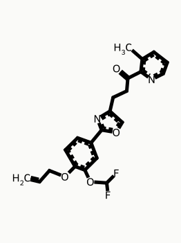 C=CCOc1ccc(-c2nc(CCC(=O)c3ncccc3C)co2)cc1OC(F)F